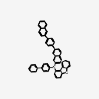 c1ccc(-c2ccc(N(c3ccc4ccc(-c5ccc(-c6ccc7ccccc7c6)cc5)cc4c3)c3cccc4oc5ccccc5c34)cc2)cc1